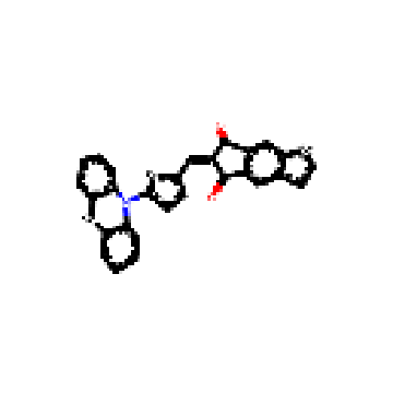 O=C1C(=Cc2ccc(N3c4ccccc4[Se]c4ccccc43)[se]2)C(=O)c2cc3[se]ccc3cc21